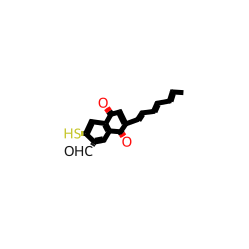 C/C=C/C=C/C=C/C1=CC(=O)c2cc(S)c(C=O)cc2C1=O